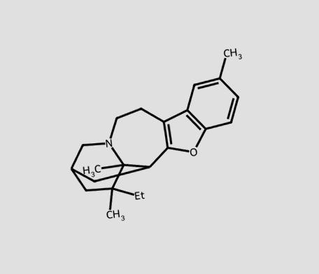 CCC1(C)CC2CC3c4oc5ccc(C)cc5c4CCN(C2)C31C